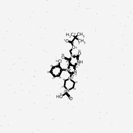 CC(C)(C)C(=O)OCn1c(=O)[nH]c2nc(N3CCN(C(=O)O)CC3)n(-c3ccccc3Cl)c2c1=O